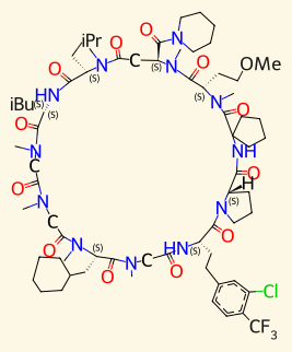 CC[C@H](C)[C@@H]1NC(=O)[C@H](CC(C)C)N(C)C(=O)C[C@@H](C(=O)N2CCCCC2)N(C)C(=O)[C@H](CCOC)N(C)C(=O)C2(CCCC2)NC(=O)[C@@H]2CCCN2C(=O)[C@H](CCc2ccc(C(F)(F)F)c(Cl)c2)NC(=O)CN(C)C(=O)[C@H](CC2CCCCC2)N(C)C(=O)CN(C)C(=O)CN(C)C1=O